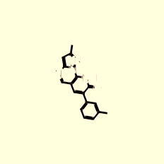 Cc1cccc(-c2cc3cnc4cc(C)nn4c3[nH]c2=O)c1